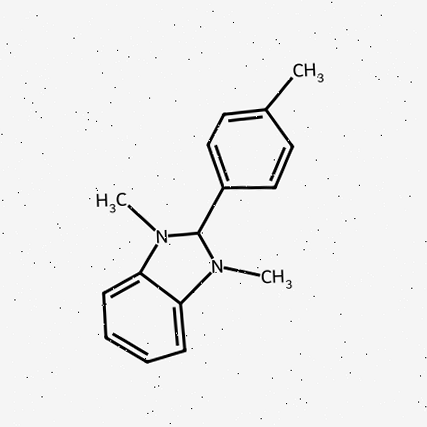 Cc1ccc(C2N(C)c3ccccc3N2C)cc1